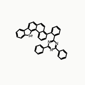 c1ccc(-c2nc(-c3ccccc3)nc(-c3ccccc3-c3cccc4c3ccc3ccc5c6ccccc6[se]c5c34)n2)cc1